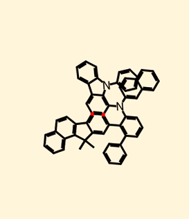 CC1(C)c2cc(-c3c(-c4ccccc4)cccc3N(c3ccc4ccccc4c3)c3cccc4c5ccccc5n(-c5ccccc5)c34)ccc2-c2ccc3ccccc3c21